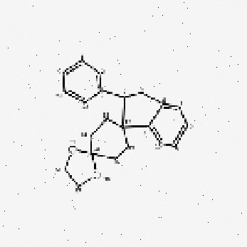 c1ccc(C2Cc3ccccc3C23CCC2(CC3)OCCO2)cc1